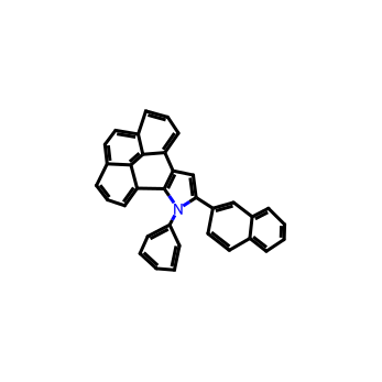 c1ccc(-n2c(-c3ccc4ccccc4c3)cc3c4cccc5ccc6cccc(c6c54)c32)cc1